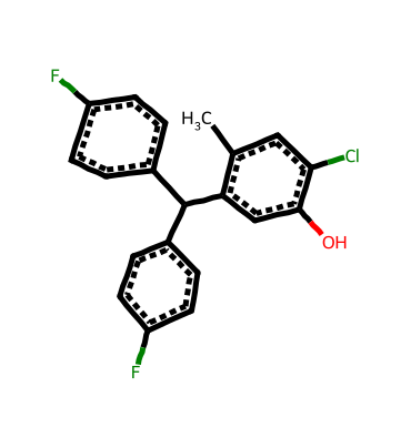 Cc1cc(Cl)c(O)cc1C(c1ccc(F)cc1)c1ccc(F)cc1